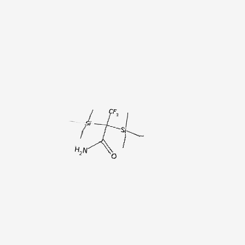 C[Si](C)(C)C(C(N)=O)(C(F)(F)F)[Si](C)(C)C